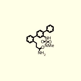 CNS(=O)(=O)Nc1cc(-c2ccccc2CCC(N)=O)ccc1-c1ccccc1